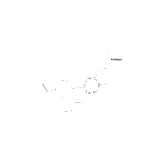 C=CC1CCN(c2nc3c(nc2NCC(F)F)CCN(C(=C)C(F)F)C3)CC1